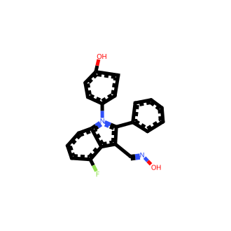 ON=Cc1c(-c2ccccc2)n(-c2ccc(O)cc2)c2cccc(F)c12